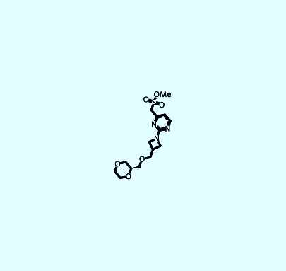 COS(=O)(=O)Cc1ccnc(N2CC(COC[C@@H]3COCCO3)C2)n1